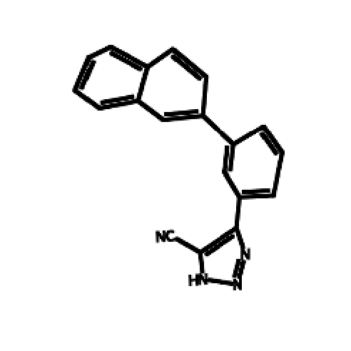 N#Cc1[nH]nnc1-c1cccc(-c2ccc3ccccc3c2)c1